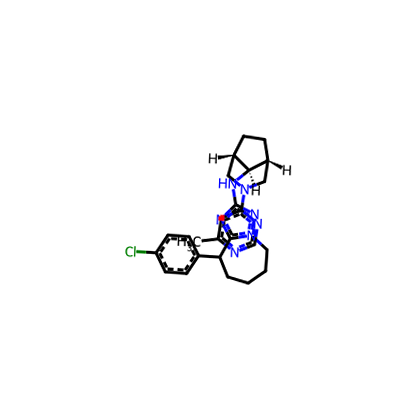 Cc1cc(N2C[C@H]3CC[C@@H](C2)[C@@H]3Nc2nc3n(n2)CCCCC3c2ccc(Cl)cc2)ncn1